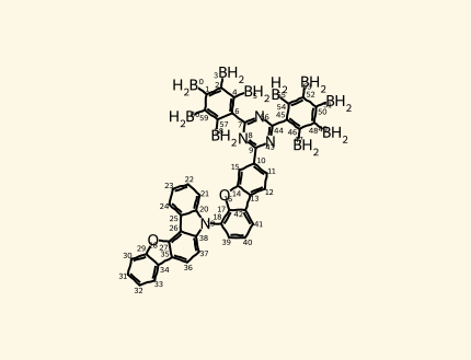 Bc1c(B)c(B)c(-c2nc(-c3ccc4c(c3)oc3c(-n5c6ccccc6c6c7oc8ccccc8c7ccc65)cccc34)nc(-c3c(B)c(B)c(B)c(B)c3B)n2)c(B)c1B